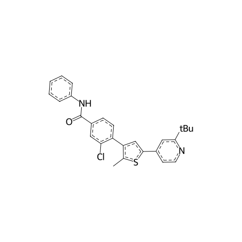 Cc1sc(-c2ccnc(C(C)(C)C)c2)cc1-c1ccc(C(=O)Nc2ccccc2)cc1Cl